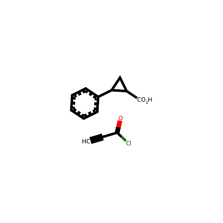 C#CC(=O)Cl.O=C(O)C1CC1c1ccccc1